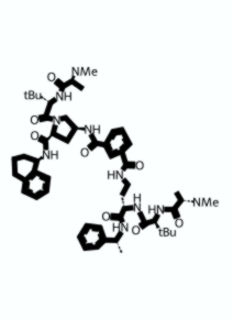 CN[C@@H](C)C(=O)N[C@H](C(=O)N[C@@H](CCNC(=O)c1cccc(C(=O)N[C@H]2C[C@@H](C(=O)N[C@@H]3CCCc4ccccc43)N(C(=O)[C@@H](NC(=O)[C@H](C)NC)C(C)(C)C)C2)c1)C(=O)N[C@H](C)c1ccccc1)C(C)(C)C